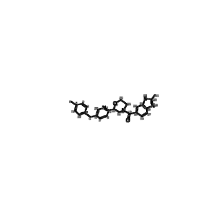 Cc1ccc(Cc2ccc(C3CN(C(=O)c4ccc5nc(C)sc5c4)CCO3)nc2)cc1